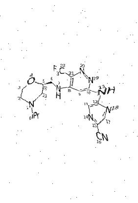 CC(C)N1CCO[C@@H](CNc2cc(Nc3cnc(C#N)cn3)nnc2C(F)(F)F)C1